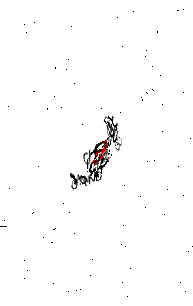 C=CC(=O)N1CCN(c2nc(=O)n(-c3c(C)ccnc3C(C)C/C=C\C(=O)N3CCN(c4nc(=O)n(C(C(C)C)C(C)C)c5nc(Cl)c(Cl)cc45)CC3)c3nc(-c4c(O)cccc4Cl)c(F)cc23)[C@@H](C)C1